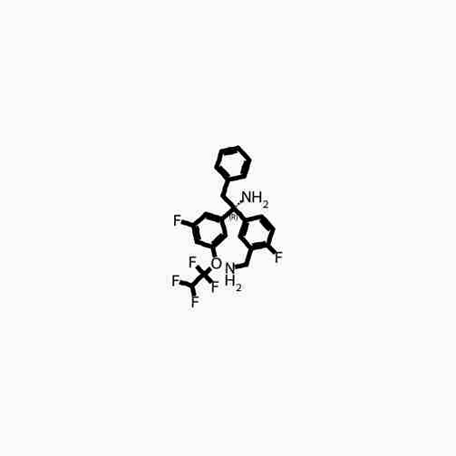 NCc1cc([C@](N)(Cc2ccccc2)c2cc(F)cc(OC(F)(F)C(F)F)c2)ccc1F